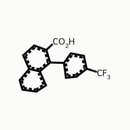 O=C(O)c1ccc2ccccc2c1-c1ccc(C(F)(F)F)cc1